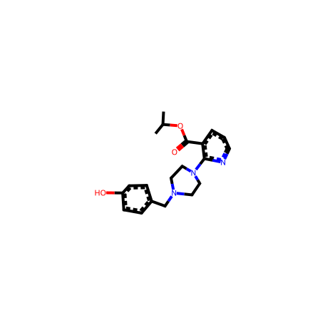 CC(C)OC(=O)c1cccnc1N1CCN(Cc2ccc(O)cc2)CC1